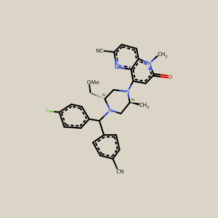 COC[C@@H]1CN(c2cc(=O)n(C)c3ccc(C#N)nc23)[C@@H](C)CN1C(c1ccc(F)cc1)c1ccc(C#N)cc1